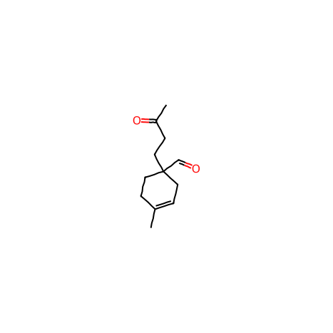 CC(=O)CCC1(C=O)CC=C(C)CC1